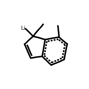 [Li][C]1(C)C=Cc2cccc(C)c21